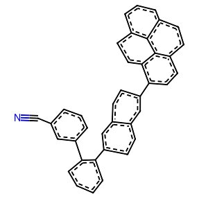 N#Cc1cccc(-c2ccccc2-c2ccc3cc(-c4ccc5ccc6cccc7ccc4c5c67)ccc3c2)c1